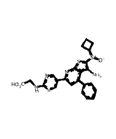 Nc1c([S+]([O-])C2CCC2)sc2nc(-c3cnc(NCC(=O)O)nc3)cc(-c3ccccc3)c12